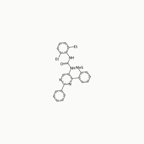 CCc1cccc(CC)c1NC(=O)Nc1cnc(-c2ccccc2)nc1-c1ccccc1SC